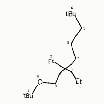 CCC(CC)(CCCC(C)(C)C)COC(C)(C)C